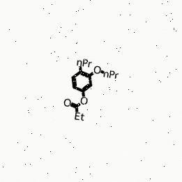 CCCOc1cc(OC(=O)CC)ccc1CCC